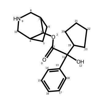 O=C(OC1C2CCC1CNC2)C(O)(c1ccccc1)C1CCCC1